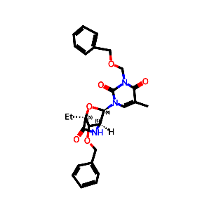 CC[C@@]12O[C@@H](n3cc(C)c(=O)n(COCc4ccccc4)c3=O)[C@@H](NC1=O)C2OCc1ccccc1